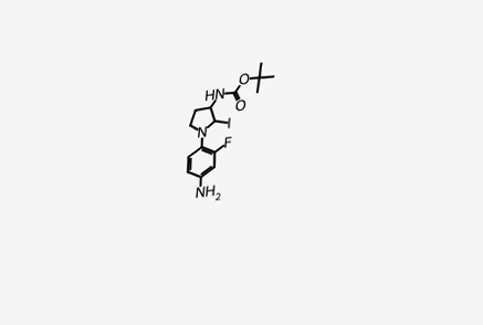 CC(C)(C)OC(=O)NC1CCN(c2ccc(N)cc2F)C1I